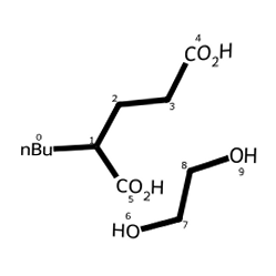 CCCCC(CCC(=O)O)C(=O)O.OCCO